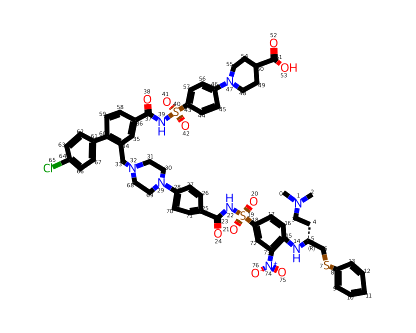 CN(C)CC[C@H](CSc1ccccc1)Nc1ccc(S(=O)(=O)NC(=O)c2ccc(N3CCN(Cc4cc(C(=O)NS(=O)(=O)c5ccc(N6CCC(C(=O)O)CC6)cc5)ccc4-c4ccc(Cl)cc4)CC3)cc2)cc1[N+](=O)[O-]